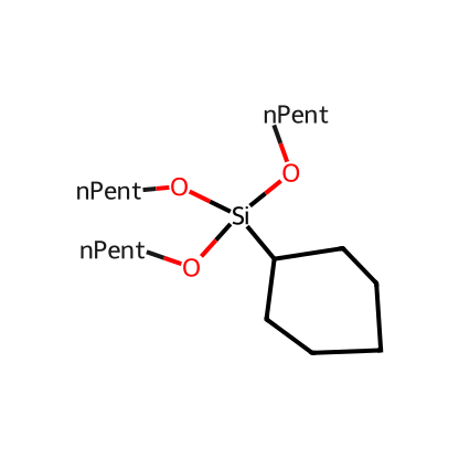 CCCCCO[Si](OCCCCC)(OCCCCC)C1CCCCC1